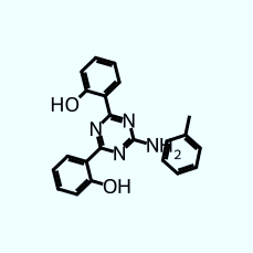 Cc1ccccc1.Nc1nc(-c2ccccc2O)nc(-c2ccccc2O)n1